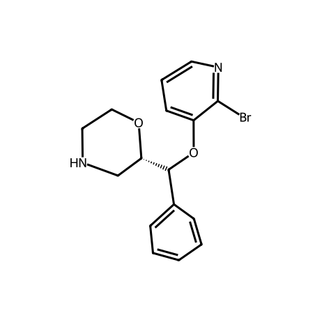 Brc1ncccc1OC(c1ccccc1)[C@@H]1CNCCO1